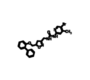 Cc1cc(NC(=O)NCC2=NOC(COc3ccccc3-c3ccccc3)C2)ncc1Br